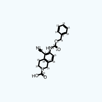 N#Cc1c(NC(=O)OCc2ccccc2)ccc2c1CCN(C(=O)O)C2